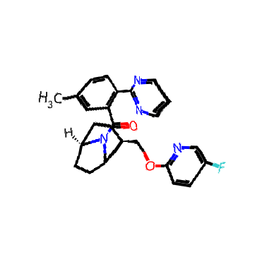 Cc1ccc(-c2ncccn2)c(C(=O)N2C3CC[C@H]2CC[C@H]3COc2ccc(F)cn2)c1